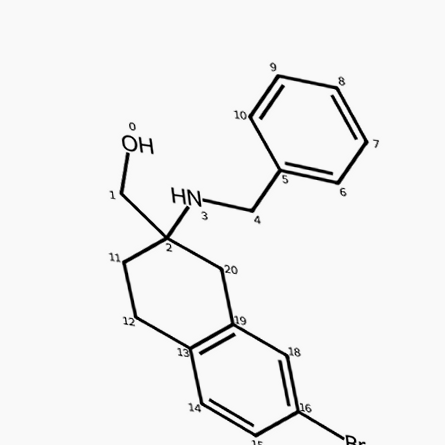 OCC1(NCc2ccccc2)CCc2ccc(Br)cc2C1